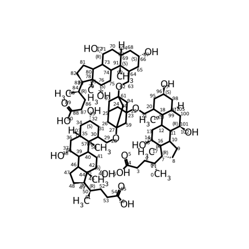 C[C@H](CCC(=O)O)[C@H]1CCC2C3C(C[C@H](O)[C@@]21C)[C@@]1(C)C(COC24CC5CC(OCC6C[C@@H](O)C[C@H]7C[C@@H](O)C8C(C[C@H](O)[C@@]9(C)C8CC[C@@H]9[C@H](C)CCC(=O)O)[C@@]67C)(C2)CC(OCC2C[C@@H](O)C[C@H]6C[C@@H](O)C7C(C[C@H](O)[C@@]8(C)C7CC[C@@H]8[C@H](C)CCC(=O)O)[C@@]26C)(C5)C4)C[C@@H](O)C[C@H]1C[C@H]3O